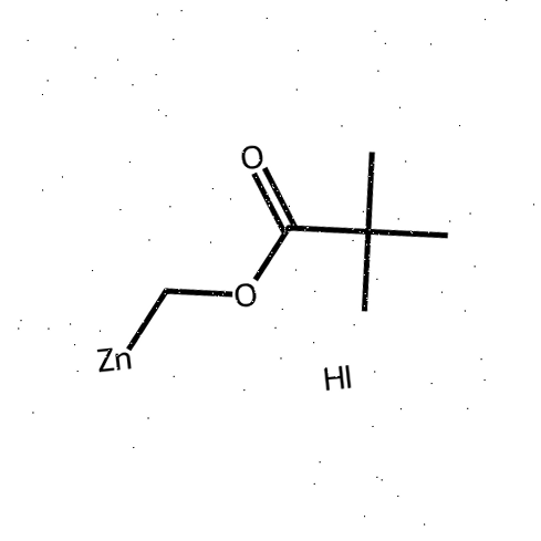 CC(C)(C)C(=O)O[CH2][Zn].I